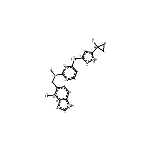 CN(Cc1ccc2[nH]cnc2c1Cl)c1nccc(Nc2cc(C3(F)CC3)[nH]n2)n1